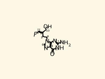 Nc1nc2c(ncn2CC/C(=C\F)CO)c(=O)[nH]1